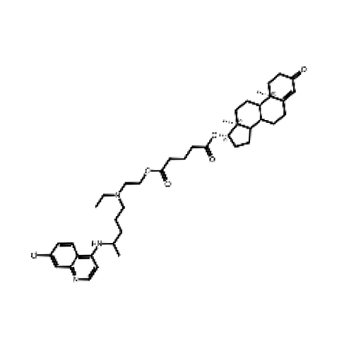 CCN(CCCC(C)Nc1ccnc2cc(Cl)ccc12)CCOC(=O)CCCC(=O)O[C@H]1CCC2C3CCC4=CC(=O)CC[C@]4(C)C3CC[C@@]21C